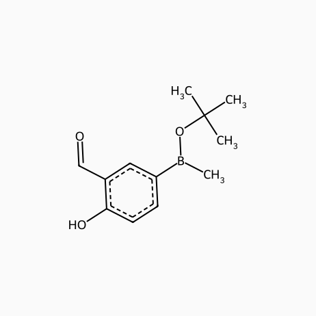 CB(OC(C)(C)C)c1ccc(O)c(C=O)c1